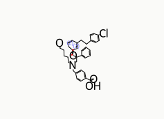 C=C/C=C(\C=C/CCOC(CN(CCCCC=O)Cc1ccc(C(=O)O)cc1)c1ccccc1)CCc1ccc(Cl)cc1